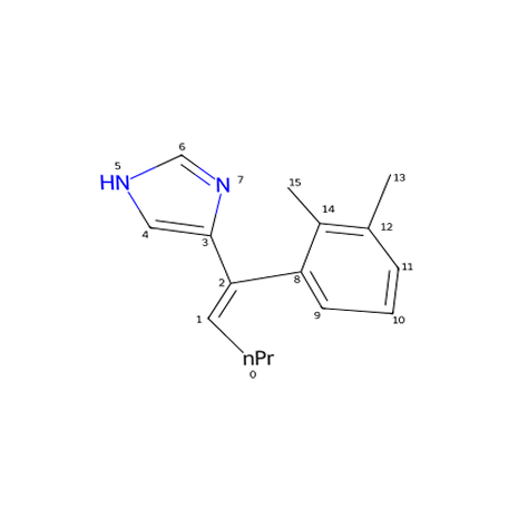 CCC/C=C(/c1c[nH]cn1)c1cccc(C)c1C